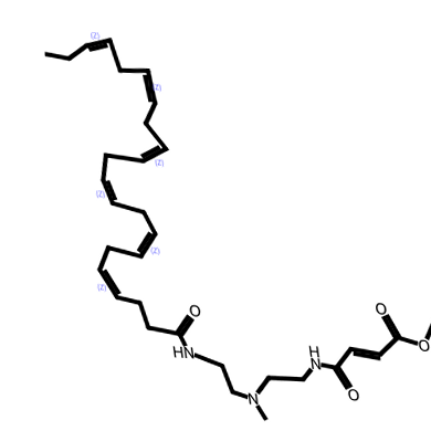 CC/C=C\C/C=C\C/C=C\C/C=C\C/C=C\C/C=C\CCC(=O)NCCN(C)CCNC(=O)C=CC(=O)OC